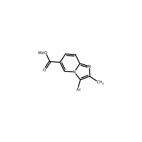 COC(=O)c1ccc2nc(C)c(C(C)=O)n2c1